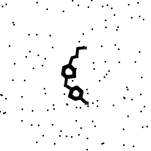 CCc1ccc(Oc2ccc(COCC(C)=O)cc2)cc1